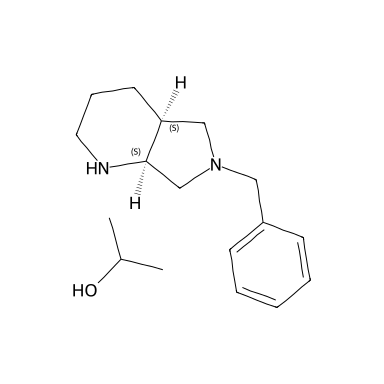 CC(C)O.c1ccc(CN2C[C@@H]3CCCN[C@@H]3C2)cc1